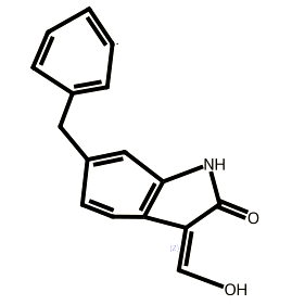 O=C1Nc2cc(Cc3c[c]ccc3)ccc2/C1=C/O